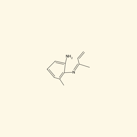 C=C/C(C)=N\c1c(C)cccc1N